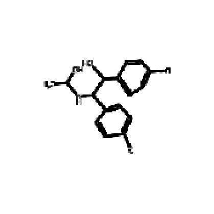 CC(O)NC(c1ccc(Cl)cc1)C(O)c1ccc(Cl)cc1